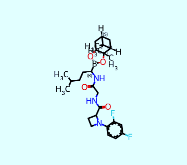 CC(C)CC[C@H](NC(=O)CNC(=O)C1CCN1c1ccc(F)cc1F)B1OC2C[C@@H]3C[C@@H](C3(C)C)[C@]2(C)O1